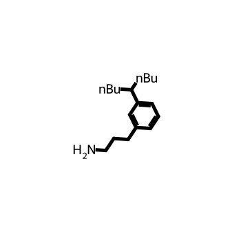 CCCCC(CCCC)c1cccc(CCCN)c1